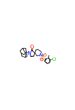 Cc1c(Cl)cccc1S(=O)(=O)N1CCCC2(CCN(C34CC5CC(CC(C5)C3)C4)C2=O)C1